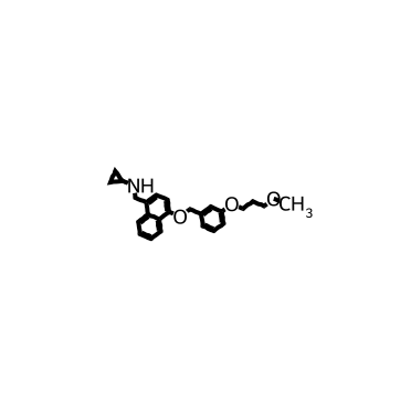 COCCCOc1cccc(COc2ccc(CNC3CC3)c3ccccc23)c1